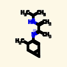 C=C(NC(C)C)/C(C)=N/C1=CC2CC2CC1C